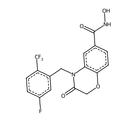 O=C(NO)c1ccc2c(c1)N(Cc1cc(F)ccc1C(F)(F)F)C(=O)CO2